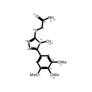 COc1cc(-c2nnc(SCC(N)=O)n2C)cc(OC)c1OC